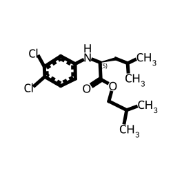 CC(C)COC(=O)[C@H](CC(C)C)Nc1ccc(Cl)c(Cl)c1